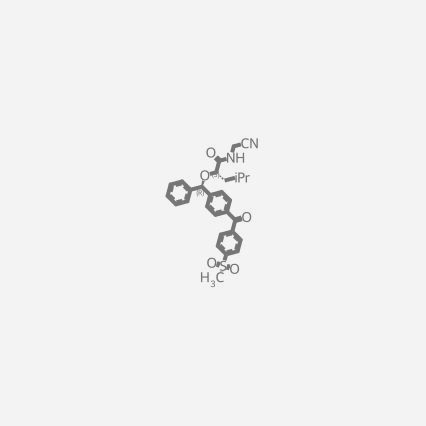 CC(C)C[C@H](O[C@H](c1ccccc1)c1ccc(C(=O)c2ccc(S(C)(=O)=O)cc2)cc1)C(=O)NCC#N